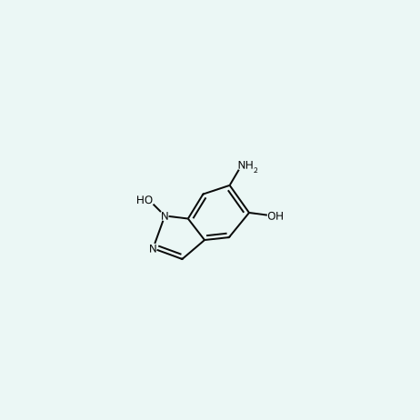 Nc1cc2c(cnn2O)cc1O